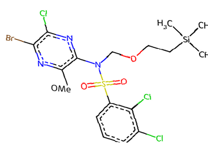 COc1nc(Br)c(Cl)nc1N(COCC[Si](C)(C)C)S(=O)(=O)c1cccc(Cl)c1Cl